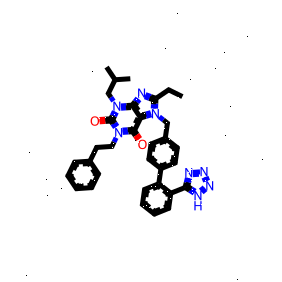 CCc1nc2c(c(=O)n(CCc3ccccc3)c(=O)n2CC(C)C)n1Cc1ccc(-c2ccccc2-c2nnn[nH]2)cc1